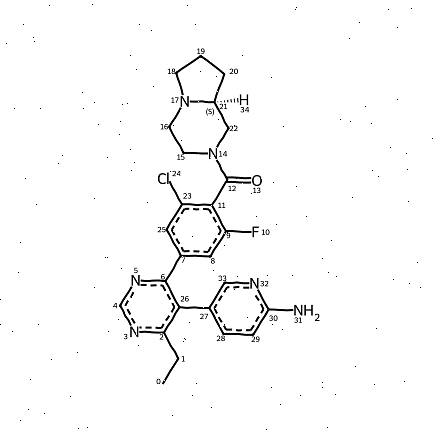 CCc1ncnc(-c2cc(F)c(C(=O)N3CCN4CCC[C@H]4C3)c(Cl)c2)c1-c1ccc(N)nc1